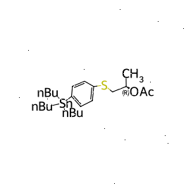 CCC[CH2][Sn]([CH2]CCC)([CH2]CCC)[c]1ccc(SC[C@@H](C)OC(C)=O)cc1